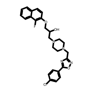 OC(COc1ccc2ccccc2c1F)CN1CCN(Cc2noc(-c3ccc(Cl)cc3)n2)CC1